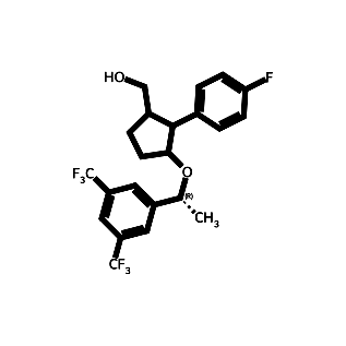 C[C@@H](OC1CCC(CO)C1c1ccc(F)cc1)c1cc(C(F)(F)F)cc(C(F)(F)F)c1